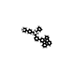 c1ccc(-c2nc(-c3ccc(-c4ccncc4)cc3)nc(-c3cccc(-c4ccc5c(c4)-c4ccccc4C54c5ccccc5-c5ccccc54)c3)n2)cc1